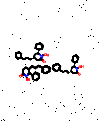 O=C1CCC(CCCc2ccccc2)C(c2ccccc2)N1O.O=C1C[C@@H](CCCc2ccccc2)C[C@H](c2ccccc2)N1O.O=C1C[C@H](CCCc2ccccc2)C[C@H](c2ccccc2)N1O